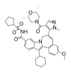 COc1ccc2c(c1)C=C(c1c(C(=O)N3C[C@@H](C)O[C@@H](C)C3)cnn1C)Cn1c-2c(C2CCCCC2)c2ccc(C(=O)NS(=O)(=O)C3CCCC3)cc21